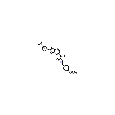 COc1ccc(/C=C/C(=O)Nc2ccc3nc(N4CC[C@@H](N(C)C)C4)sc3c2)cc1